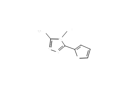 Bn1c(SC)nnc1-c1cccs1